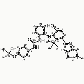 Cc1ccc2sc(-c3ccc(O)c4c3C(C)(C)CN4c3ccccc3NC(=O)Nc3ccc(OC(F)(F)F)cc3)nc2c1